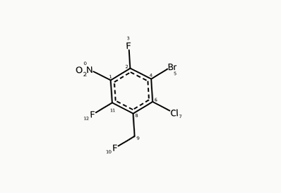 O=[N+]([O-])c1c(F)c(Br)c(Cl)c(CF)c1F